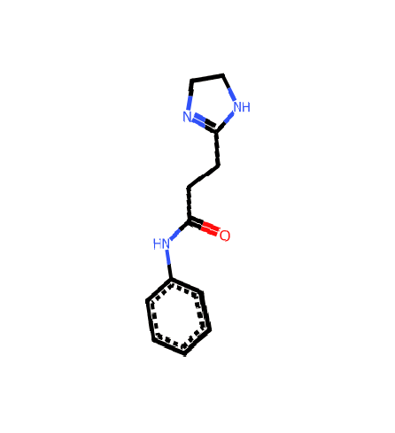 O=C(CCC1=NCCN1)Nc1ccccc1